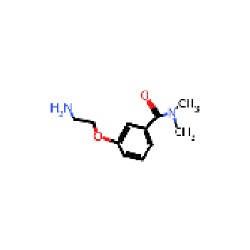 CN(C)C(=O)c1cccc(OCCN)c1